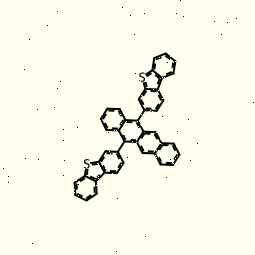 c1ccc2cc3c(-c4ccc5c(c4)sc4ccccc45)c4ccccc4c(-c4ccc5c(c4)sc4ccccc45)c3cc2c1